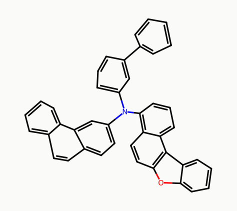 c1ccc(-c2cccc(N(c3ccc4ccc5ccccc5c4c3)c3cccc4c3ccc3oc5ccccc5c34)c2)cc1